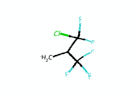 [CH2]C(C(F)(F)F)C(F)(F)Cl